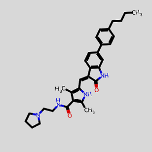 CCCCc1ccc(-c2ccc3c(c2)NC(=O)C3=Cc2[nH]c(C)c(C(=O)NCCN3CCCC3)c2C)cc1